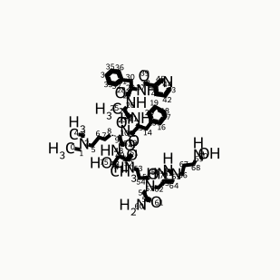 CCN(CC)CCCC[C@H](NC(=O)C(Cc1ccccc1)NC(=O)[C@H](C)NC(=O)C(Cc1ccccc1)NC(=O)c1cccnc1)C(=O)NC(C(=O)NCCC(=O)N(CC(N)=O)CC1=CN(CCCNO)NN1)[C@@H](C)O